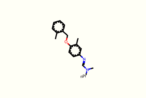 CCCN(C)/C=N/c1ccc(OCc2ccccc2C)c(C)c1